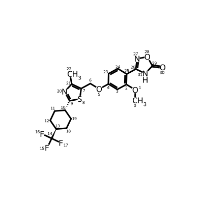 COc1cc(OCc2sc([C@H]3CC[C@H](C(F)(F)F)CC3)nc2C)ccc1-c1noc(=O)[nH]1